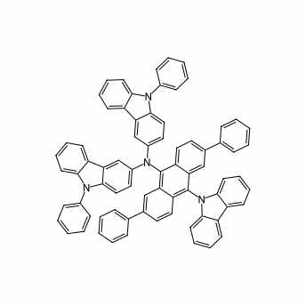 c1ccc(-c2ccc3c(-n4c5ccccc5c5ccccc54)c4cc(-c5ccccc5)ccc4c(N(c4ccc5c(c4)c4ccccc4n5-c4ccccc4)c4ccc5c(c4)c4ccccc4n5-c4ccccc4)c3c2)cc1